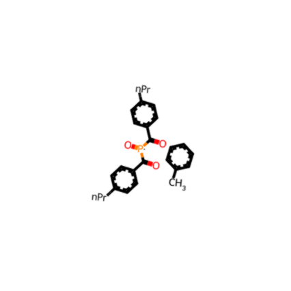 CCCc1ccc(C(=O)[P](=O)C(=O)c2ccc(CCC)cc2)cc1.Cc1ccccc1